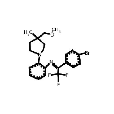 COCC1(C)CCN(c2ccccc2/N=C(/c2ccc(Br)cc2)C(F)(F)F)CC1